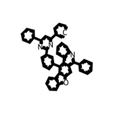 c1ccc(-c2cc(-c3ccccc3)nc(-c3cccc(-c4c5c(cc6c(-c7ccccc7)nc7ccccc7c46)oc4ccccc45)c3)n2)cc1